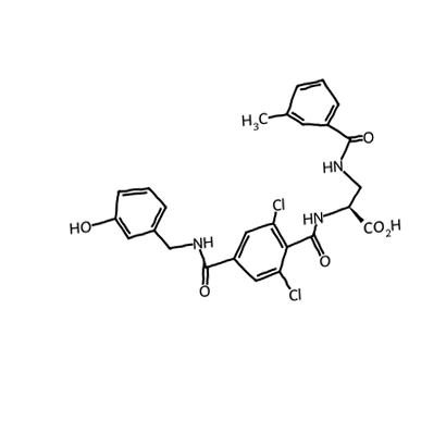 Cc1cccc(C(=O)NC[C@H](NC(=O)c2c(Cl)cc(C(=O)NCc3cccc(O)c3)cc2Cl)C(=O)O)c1